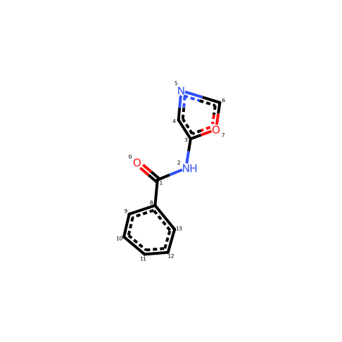 O=C(Nc1cnco1)c1ccccc1